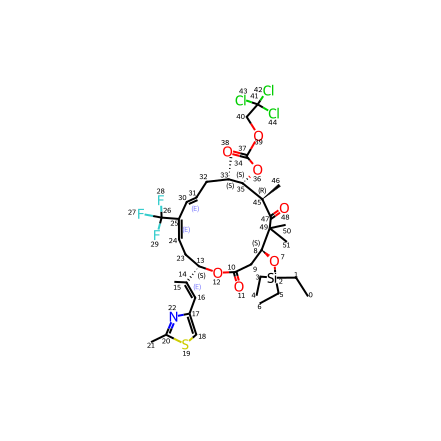 CC[Si](CC)(CC)O[C@H]1CC(=O)O[C@H](/C(C)=C/c2csc(C)n2)C/C=C(C(F)(F)F)\C=C\C[C@H](C)[C@H](OC(=O)OCC(Cl)(Cl)Cl)[C@@H](C)C(=O)C1(C)C